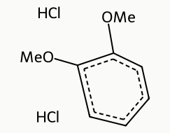 COc1ccccc1OC.Cl.Cl